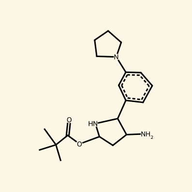 CC(C)(C)C(=O)OC1CC(N)C(c2cccc(N3CCCC3)c2)N1